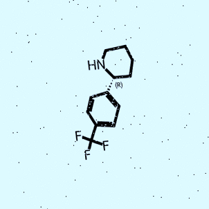 FC(F)(F)c1ccc([C@H]2CCCCN2)cc1